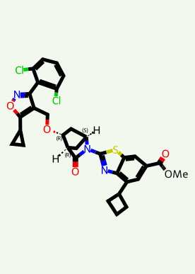 COC(=O)c1cc(C2CCC2)c2nc(N3C(=O)[C@@H]4C[C@H]3C[C@H]4OCc3c(-c4c(Cl)cccc4Cl)noc3C3CC3)sc2c1